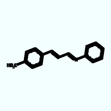 O=C(O)c1ccc(/C=C/C=N/c2ccccc2)cc1